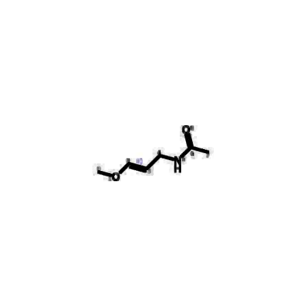 CO/C=C/CNC(C)=O